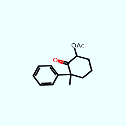 CC(=O)OC1CCCC(C)(c2ccccc2)C1=O